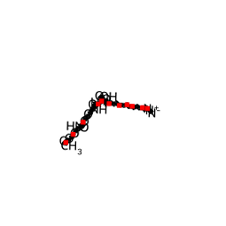 CC(=O)COCCOCCNC(=O)COCCOCCNC(=O)CC[C@H](NC(=O)CCCCCCCCCCCCCCCN=[N+]=[N-])C(=O)O